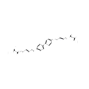 C=C(C)C(=O)OC/C=C/COc1ccc(-c2ccc(OC/C=C/COC(=O)C(=C)C)cc2)cc1